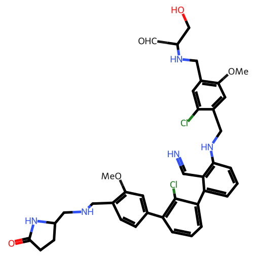 COc1cc(-c2cccc(-c3cccc(NCc4cc(OC)c(CNC(C=O)CO)cc4Cl)c3C=N)c2Cl)ccc1CNCC1CCC(=O)N1